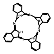 C1=CC2/C3=N/C4N/C(=N\C5NC(/N=C6\NC(/N=C(\N3)C2C=C1)C1C=CC=CC61)C1C=CC=CC51)C1C=CC=CC41